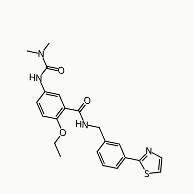 CCOc1ccc(NC(=O)N(C)C)cc1C(=O)NCc1cccc(-c2nccs2)c1